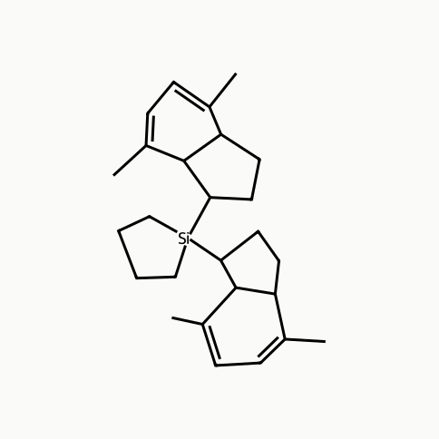 CC1=CC=C(C)C2C1CCC2[Si]1(C2CCC3C(C)=CC=C(C)C32)CCCC1